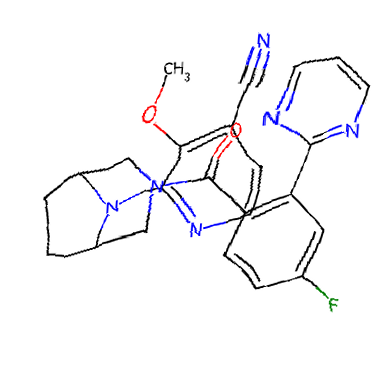 COc1c(C#N)ccnc1N1C2CCC1CN(C(=O)c1ccc(F)cc1-c1ncccn1)C2